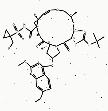 COc1ccc2c(O[C@@H]3C[C@H]4C(=O)N[C@]5(C(=O)NS(=O)(=O)C6(CF)CC6)C[C@@H]5/C=C\CC[C@@H](C)C[C@@H](C)[C@H](NC(=O)OC(C)(C)C)C(=O)N4C3)nc(OC)nc2c1